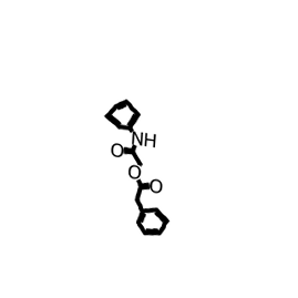 O=C(COC(=O)Cc1ccccc1)Nc1ccccc1